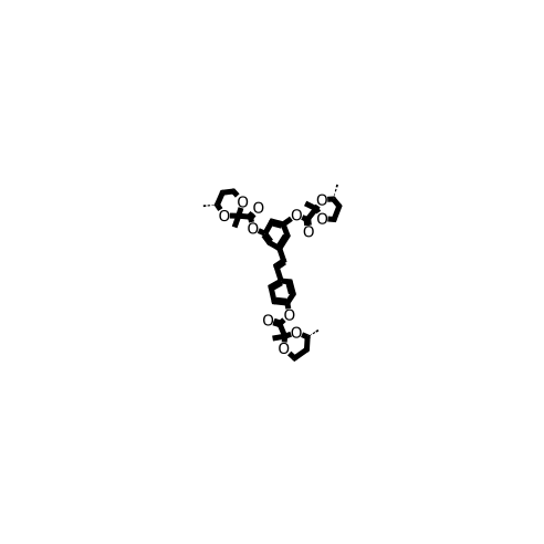 C[C@@H]1CCOC(C)(C(=O)Oc2ccc(/C=C/c3cc(OC(=O)C4(C)OCC[C@@H](C)O4)cc(OC(=O)C4(C)OCC[C@@H](C)O4)c3)cc2)O1